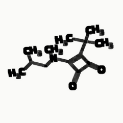 CC(C)CN(C)c1c(C(C)(C)C)c(=O)c1=O